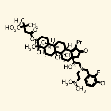 CC(C)C1=C2[C@H]3CC[C@@H]4[C@@]5(C)CC[C@H](OC(=O)CC(C)(C)C(=O)O)C(C)(C)C5CC[C@@]4(C)[C@]3(C)CCC2([C@H](O)CN(CCN(C)C)Cc2cccc(Cl)c2F)CC1=O